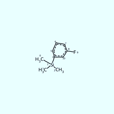 C[Si](C)(C)c1cc[c]c(F)c1